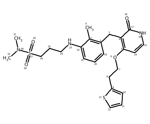 Cc1c(Cc2c(OCCc3cccs3)cc[nH]c2=O)cccc1NCCCS(=O)(=O)N(C)C